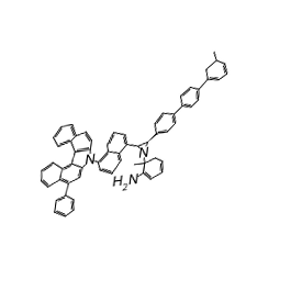 CC1C=CC=C(c2ccc(-c3ccc([C@@H]4C(c5cccc6c(-n7c8ccc9ccccc9c8c8c9ccccc9c(-c9ccccc9)cc87)cccc56)N4C4(C)CC=CC=C4N)cc3)cc2)C1